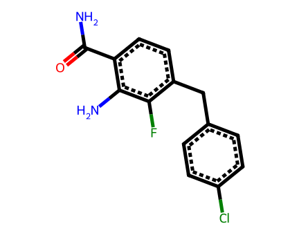 NC(=O)c1ccc(Cc2ccc(Cl)cc2)c(F)c1N